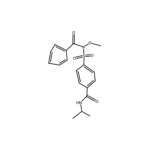 CON(C(=O)c1ccccc1)S(=O)(=O)c1ccc(C(=O)NC(C)C)cc1